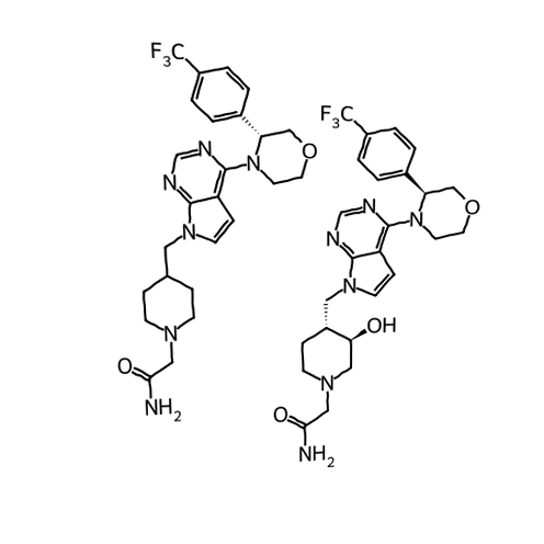 NC(=O)CN1CCC(Cn2ccc3c(N4CCOC[C@H]4c4ccc(C(F)(F)F)cc4)ncnc32)CC1.NC(=O)CN1CC[C@H](Cn2ccc3c(N4CCOC[C@@H]4c4ccc(C(F)(F)F)cc4)ncnc32)[C@@H](O)C1